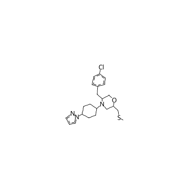 CSCC1CN(C2CCC(n3cccn3)CC2)C(Cc2ccc(Cl)cc2)CO1